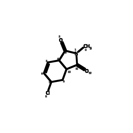 CN1C(=O)C2C=CC(Cl)CC2C1=O